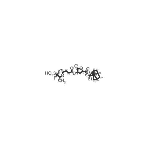 CCC(C)(OC(=O)C1CC(OC(=O)CCC(=O)OC(C)C(F)(F)S(=O)(=O)O)C(=O)O1)C12CC3CC(CC(C3)C1)C2